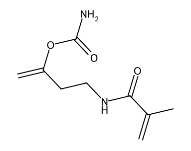 C=C(CCNC(=O)C(=C)C)OC(N)=O